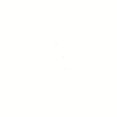 Cc1cc(CN2Cc3ccccc3NCC2=O)no1